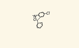 CN1OC(c2ccccc2)c2cc(Cl)ccc21